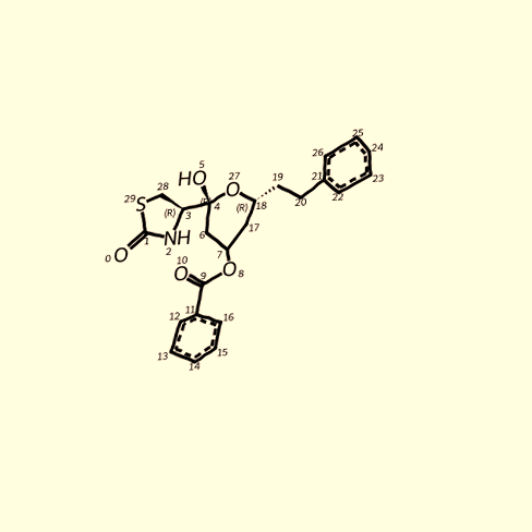 O=C1N[C@H]([C@@]2(O)CC(OC(=O)c3ccccc3)C[C@@H](CCc3ccccc3)O2)CS1